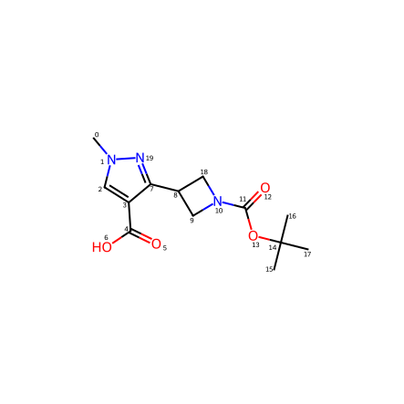 Cn1cc(C(=O)O)c(C2CN(C(=O)OC(C)(C)C)C2)n1